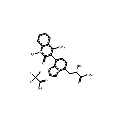 COC(=O)[C@@H](N)Cc1ccc(-c2c(OC)c3ccccc3n(C)c2=O)c2nccn12.O=C(O)C(F)(F)F